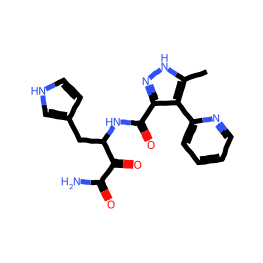 Cc1[nH]nc(C(=O)NC(Cc2cc[nH]c2)C(=O)C(N)=O)c1-c1ccccn1